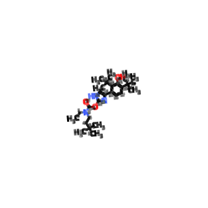 CCN(CCC(C)(C)C)C(=O)Oc1nc(-c2ccc(C(C)(C)C)c(O)c2C(C)(C)C)c[nH]1